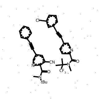 CN(C(=O)c1ccc(C#Cc2cccc(Cl)c2)cn1)C(C)(C)C(F)(F)F.CN(C(=O)c1ncc(C#Cc2ccccc2)cc1C#N)C(C)(C)C